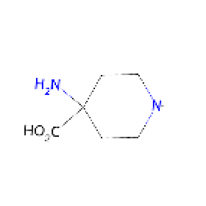 NC1(C(=O)O)CC[N]CC1